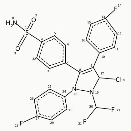 NS(=O)(=O)c1ccc(C2=C(c3ccc(F)cc3)C(Cl)N(C(F)F)N2c2ccc(F)cc2)cc1